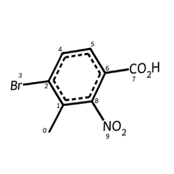 Cc1c(Br)ccc(C(=O)O)c1[N+](=O)[O-]